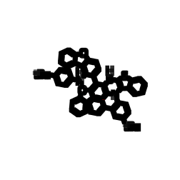 CC(C)(C)c1ccc(Nc2c(-c3c4c(cc5c3oc3ccccc35)N(c3ccc(C(C)(C)C)cc3-c3ccccc3)c3c(sc5ccccc35)B4)ccc3oc4ccccc4c23)cc1